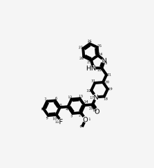 COc1cc(-c2ccccc2F)ccc1C(=O)N1CCC(Cc2nc3ccccc3[nH]2)CC1